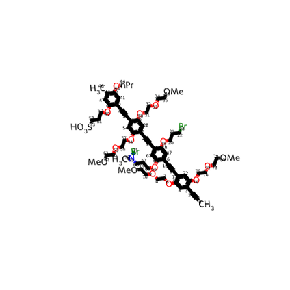 CC#Cc1cc(OCCOCCOC)c(C#Cc2cc(OCCCBr)c(C#Cc3cc(OCCOCCOC)c(C#Cc4cc(OCCC)c(C)cc4OCCCS(=O)(=O)O)cc3OCCOCCOC)cc2OCCCN(C)Br)cc1OCCOCCOC